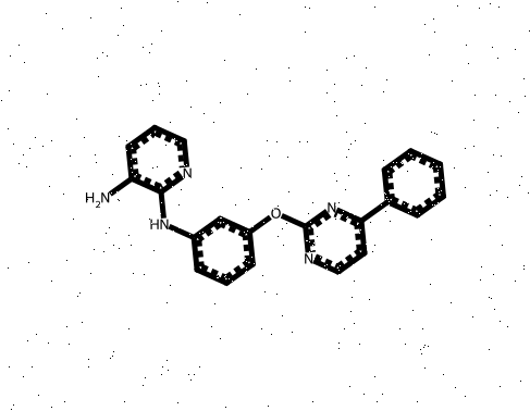 Nc1cccnc1Nc1cccc(Oc2nccc(-c3ccccc3)n2)c1